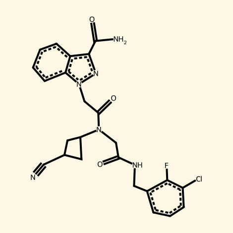 N#CC1CC(N(CC(=O)NCc2cccc(Cl)c2F)C(=O)Cn2nc(C(N)=O)c3ccccc32)C1